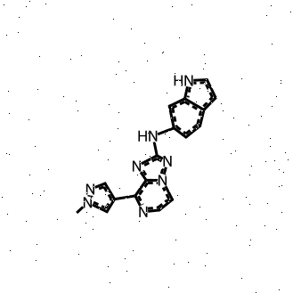 Cn1cc(-c2nccn3nc(Nc4ccc5cc[nH]c5c4)nc23)cn1